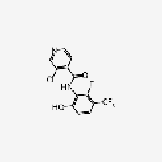 O=C(Nc1c(O)ccc(C(F)(F)F)c1F)c1ccncc1Cl